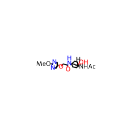 COc1ncc(OCC(=O)NC23CCC(NC(C)=O)(CC2)[C@@H](O)C3)cn1